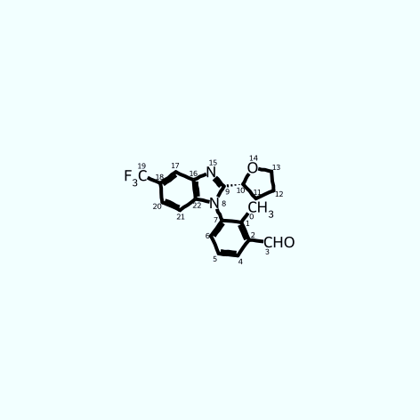 Cc1c(C=O)cccc1-n1c([C@H]2CCCO2)nc2cc(C(F)(F)F)ccc21